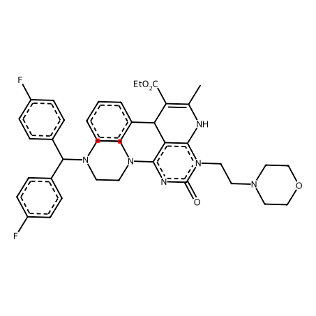 CCOC(=O)C1=C(C)Nc2c(c(N3CCN(C(c4ccc(F)cc4)c4ccc(F)cc4)CC3)nc(=O)n2CCN2CCOCC2)C1c1ccccc1